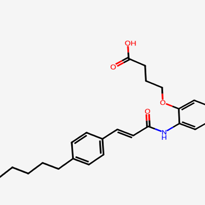 CCCCCc1ccc(C=CC(=O)Nc2ccccc2OCCCC(=O)O)cc1